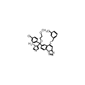 COCCOC(c1ccc(Cl)cc1)(c1ccc2c(c1)c(CCc1cccc(Cl)c1)cc1nnnn12)c1cncn1C